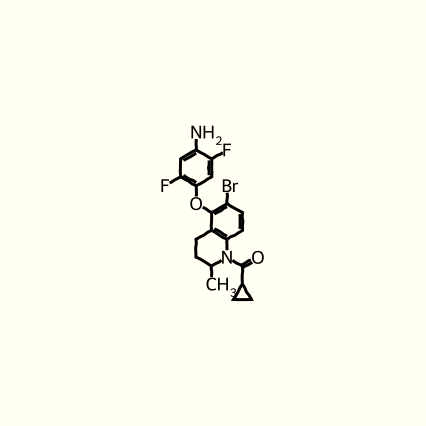 CC1CCc2c(ccc(Br)c2Oc2cc(F)c(N)cc2F)N1C(=O)C1CC1